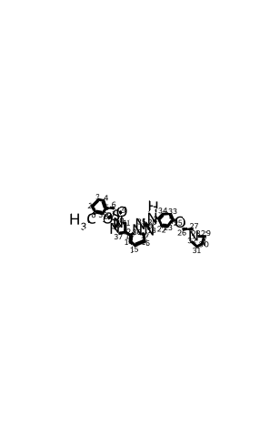 Cc1cccc(CS(=O)(=O)n2cc(-c3cccc4nc(Nc5ccc(OCCN6CCCC6)cc5)nn34)cn2)c1